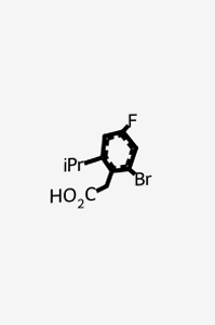 CC(C)c1cc(F)cc(Br)c1CC(=O)O